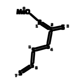 COB=S(=S)=S=S=S=S